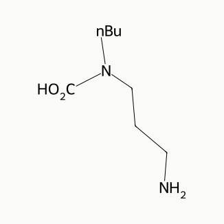 CCCCN(CCCN)C(=O)O